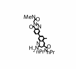 CCCN(CCC)C(=O)C1=Cc2c(C)cc(-c3ccc4c(=O)n(CC(=O)NC)cnc4c3)cc2N=C(N)C1